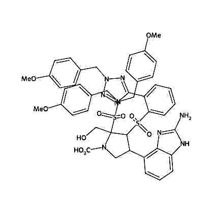 COc1ccc(CN(Cc2ccc(OC)cc2)S(=O)(=O)C2(CO)C(S(=O)(=O)c3ccccc3-c3nnn(Cc4ccc(OC)cc4)n3)C(c3cccc4[nH]c(N)nc34)CN2C(=O)O)cc1